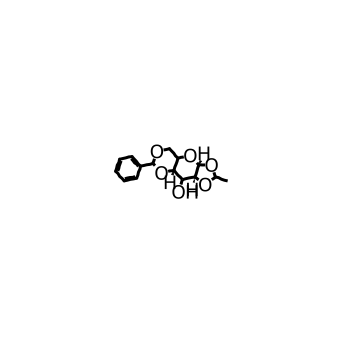 CC1O[C@H]2OC3COC(c4ccccc4)O[C@H]3C(O)[C@@H]2O1